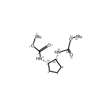 CC(C)(C)OC(=O)N[C@H]1CCC[C@H]1NC(=O)OC(C)(C)C